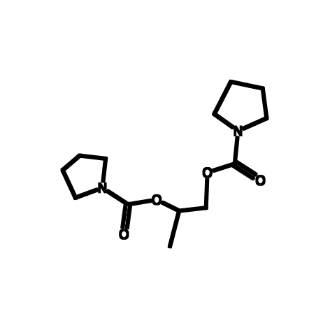 CC(COC(=O)N1CCCC1)OC(=O)N1CCCC1